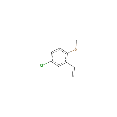 C=Cc1cc(Cl)ccc1SC